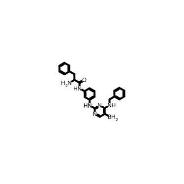 Bc1cnc(Nc2cccc(NC(=O)C(N)Cc3ccccc3)c2)nc1NCc1ccccc1